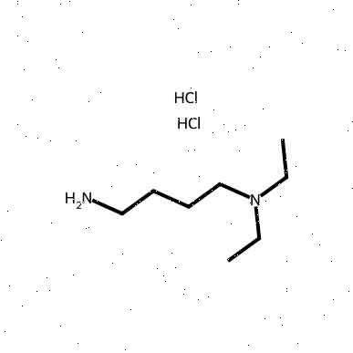 CCN(CC)CCCCN.Cl.Cl